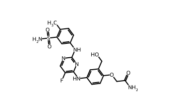 Cc1ccc(Nc2ncc(F)c(Nc3ccc(OCC(N)=O)c(CO)c3)n2)cc1S(N)(=O)=O